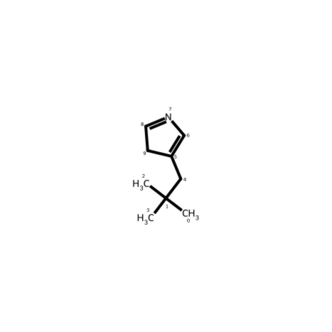 CC(C)(C)CC1=CN=CC1